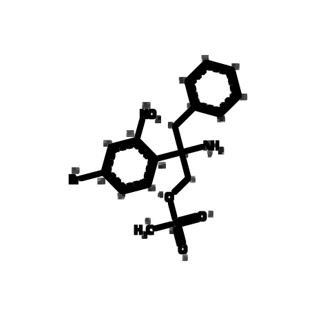 CS(=O)(=O)OCC(N)(Cc1ccccc1)c1ccc(Br)cc1[N+](=O)[O-]